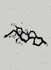 CC[C@]12C=CC3=C4CCC(=O)C=C4CC[C@H]3[C@@H]1CC(C)[C@@]2(O)CC#N